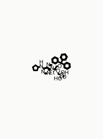 CCC(COC(c1ccccc1)(c1ccccc1)c1ccccc1)(OCP(=O)(O)O)n1cnc2c(NC3CCCC3)ncnc21